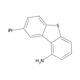 CC(C)c1ccc2sc3cccc(N)c3c2c1